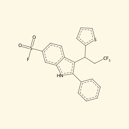 O=S(=O)(F)c1ccc2c(C(CC(F)(F)F)c3cccs3)c(-c3ccccc3)[nH]c2c1